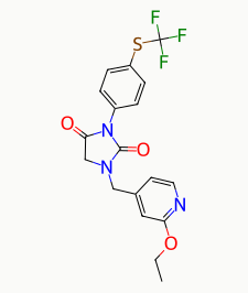 CCOc1cc(CN2CC(=O)N(c3ccc(SC(F)(F)F)cc3)C2=O)ccn1